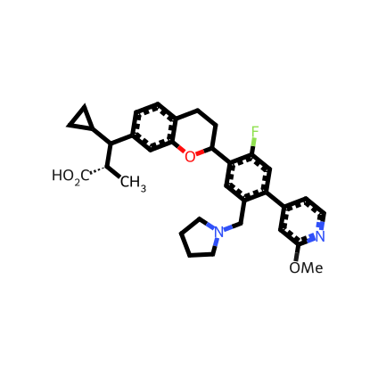 COc1cc(-c2cc(F)c(C3CCc4ccc(C(C5CC5)[C@H](C)C(=O)O)cc4O3)cc2CN2CCCC2)ccn1